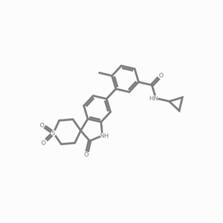 Cc1ccc(C(=O)NC2CC2)cc1-c1ccc2c(c1)NC(=O)C21CCS(=O)(=O)CC1